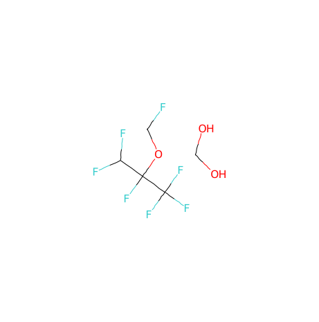 FCOC(F)(C(F)F)C(F)(F)F.OCO